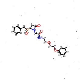 O=C(CN1C(=O)CC1[S+]([O-])Cc1ccccc1)NCCOCCOc1ccccc1